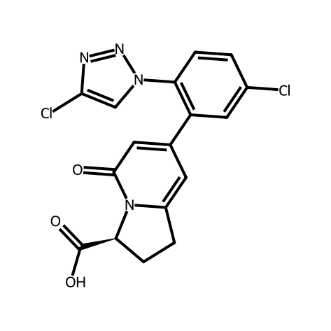 O=C(O)[C@@H]1CCc2cc(-c3cc(Cl)ccc3-n3cc(Cl)nn3)cc(=O)n21